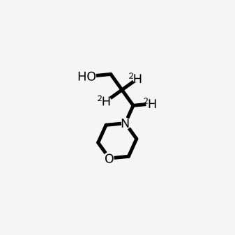 [2H]C(N1CCOCC1)C([2H])([2H])CO